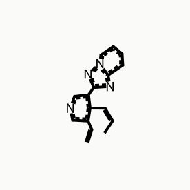 C=Cc1cncc(-c2nc3ccccn3n2)c1/C=C\C